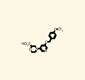 O=C(O)C1CN(c2cncc(OCc3ccc(OC(F)(F)F)cc3)c2)CCO1